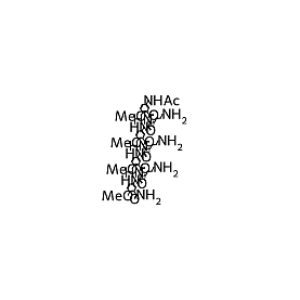 COc1ccc(NC(=O)[C@H](CCCCN)NC(=O)c2cc(NC(=O)[C@H](CCCCN)NC(=O)c3cc(NC(=O)[C@H](CCCCN)NC(=O)c4cc(NC(C)=O)ccc4OC)ccc3OC)ccc2OC)cc1C(N)=O